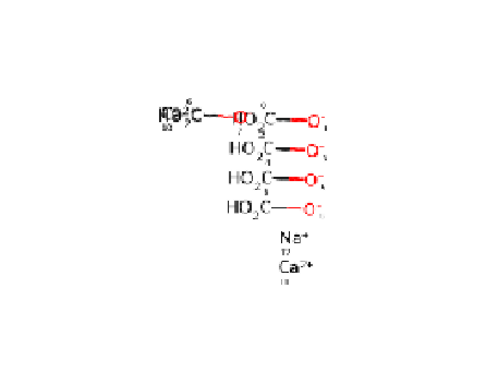 O=C([O-])O.O=C([O-])O.O=C([O-])O.O=C([O-])O.O=C([O-])O.[Ca+2].[Ca+2].[Na+]